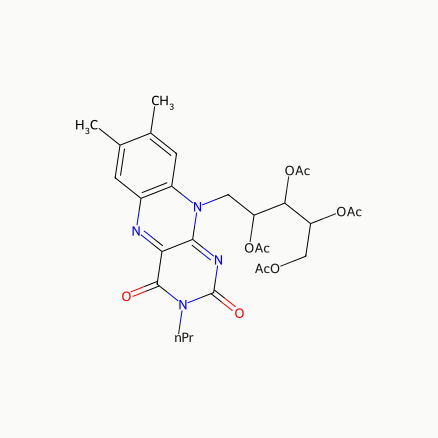 CCCn1c(=O)nc2n(CC(OC(C)=O)C(OC(C)=O)C(COC(C)=O)OC(C)=O)c3cc(C)c(C)cc3nc-2c1=O